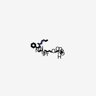 C=C/C=C\C=C(/C)c1nc(N(CCCCOCC(=O)NS(C)(=O)=O)C(C)C)cnc1-c1ccccc1